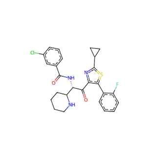 O=C(N[C@H](C(=O)c1nc(C2CC2)sc1-c1ccccc1F)C1CCCCN1)c1cccc(Cl)c1